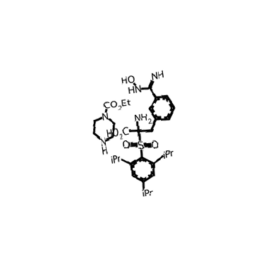 CC(C)c1cc(C(C)C)c(S(=O)(=O)C(N)(Cc2cccc(C(=N)NO)c2)C(=O)O)c(C(C)C)c1.CCOC(=O)N1CCNCC1